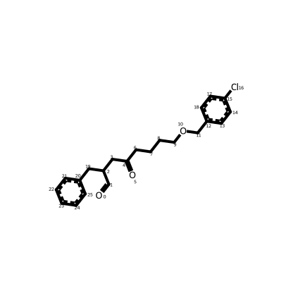 O=CC(CC(=O)CCCCOCc1ccc(Cl)cc1)Cc1ccccc1